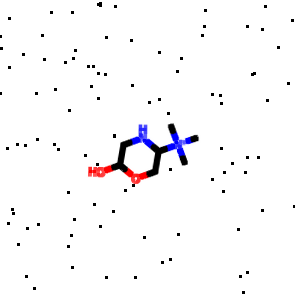 C[N+](C)(C)C1COC(O)CN1